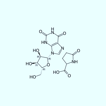 O=C1CCC(C(=O)O)N1.O=c1[nH]c(=O)c2ncn([C@@H]3O[C@H](CO)[C@@H](O)[C@H]3O)c2[nH]1